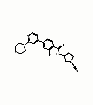 N#CN1CCC(NC(=O)c2ccc(-c3ccnc(N4CCOCC4)c3)cc2F)C1